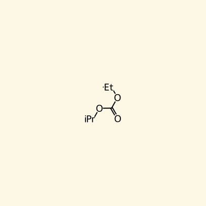 C[CH]OC(=O)OC(C)C